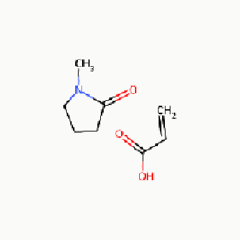 C=CC(=O)O.CN1CCCC1=O